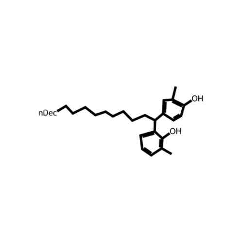 CCCCCCCCCCCCCCCCCCCC(c1ccc(O)c(C)c1)c1cccc(C)c1O